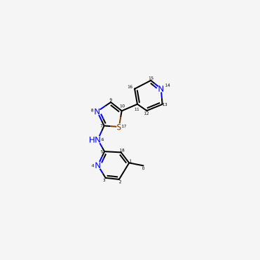 Cc1ccnc(Nc2ncc(-c3ccncc3)s2)c1